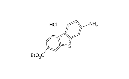 CCOC(=O)c1ccc2c(c1)sc1cc(N)ccc12.Cl